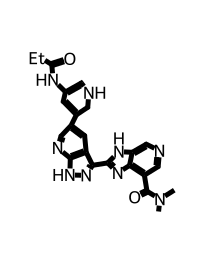 CCC(=O)NC1=CNCC(c2cnc3[nH]nc(-c4nc5c(C(=O)N(C)C)cncc5[nH]4)c3c2)=C1